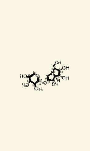 OC[C@H]1[C@@H](O)[C@H](O)[C@H]2[C@@H](O)[C@H](O[C@H]3OC=C(O)C(O)C3O)CN21